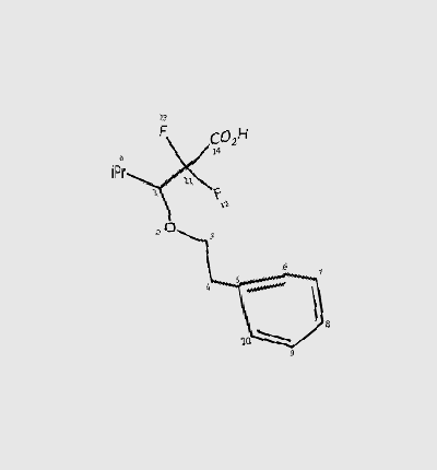 CC(C)C(OCCc1ccccc1)C(F)(F)C(=O)O